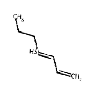 C=CC=[SiH]CCC